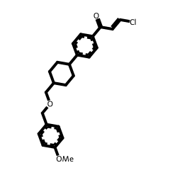 COc1ccc(COCC2CCC(c3ccc(C(=O)C=CCl)cc3)CC2)cc1